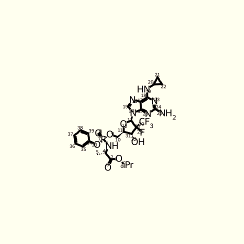 CC(C)OC(=O)[C@H](C)NP(=O)(OC[C@H]1O[C@@H](n2cnc3c(NC4CC4)nc(N)nc32)[C@@](F)(C(F)(F)F)[C@@H]1O)Oc1ccccc1